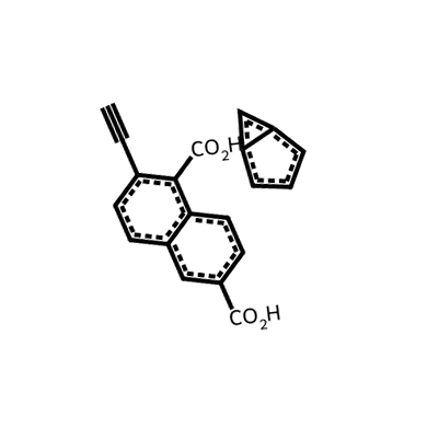 C#Cc1ccc2cc(C(=O)O)ccc2c1C(=O)O.c1cc2cc-2c1